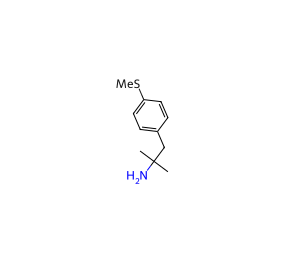 CSc1ccc(CC(C)(C)N)cc1